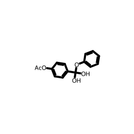 CC(=O)Oc1ccc(C(O)(O)Oc2ccccc2)cc1